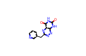 O=c1[nH]c(=O)c2nc(Cc3cccnc3)nnc2[nH]1